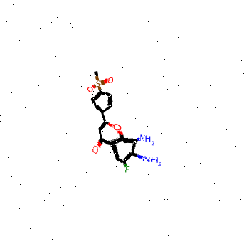 CS(=O)(=O)c1ccc(-c2cc(=O)c3cc(F)c(N)c(N)c3o2)cc1